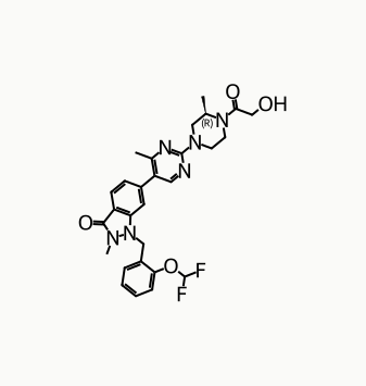 Cc1nc(N2CCN(C(=O)CO)[C@H](C)C2)ncc1-c1ccc2c(=O)n(C)n(Cc3ccccc3OC(F)F)c2c1